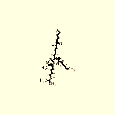 CCCCCC(=O)NCCCCC(NC(=O)CCCCC)C(=O)NC(CCCCNC(C)C)C(C)=O